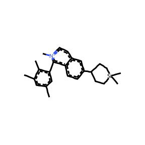 Cc1cc(C)c(C)c(-c2c3ccc(C4CC[Si](C)(C)CC4)cc3cc[n+]2C)c1